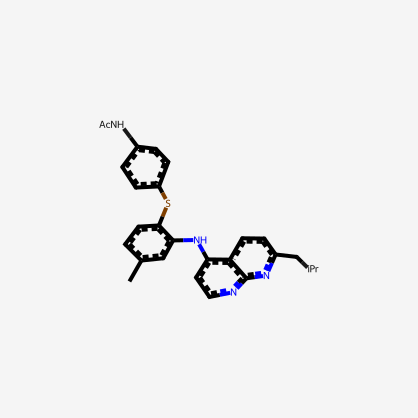 CC(=O)Nc1ccc(Sc2ccc(C)cc2Nc2ccnc3nc(CC(C)C)ccc23)cc1